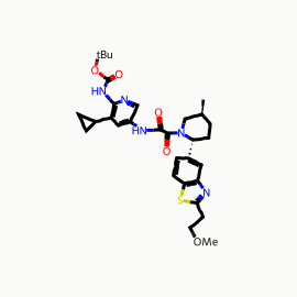 COCCc1nc2cc([C@H]3CC[C@H](C)CN3C(=O)C(=O)Nc3cnc(NC(=O)OC(C)(C)C)c(C4CC4)c3)ccc2s1